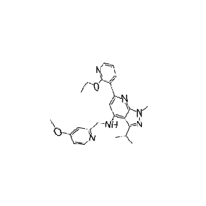 CCOc1ncccc1-c1cc(NCc2cc(OC)ccn2)c2c(C(C)C)nn(C)c2n1